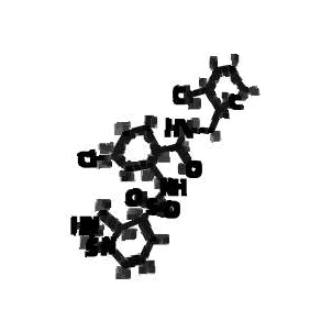 O=C(NCc1ccccc1Cl)c1ccc(Cl)cc1NS(=O)(=O)C1=CC=CN2SNC=C12